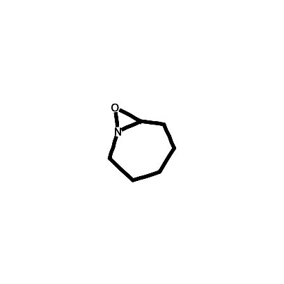 C1CC[C]2ON2CC1